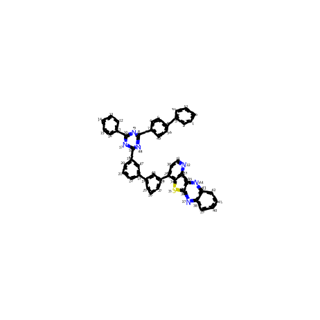 c1ccc(-c2ccc(-c3nc(-c4ccccc4)nc(-c4cccc(-c5cccc(-c6ccnc7c6sc6nc8ccccc8nc67)c5)c4)n3)cc2)cc1